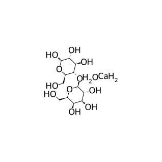 O.OC[C@H]1O[C@@H](O[C@H]2[C@H](O)[C@@H](O)[C@H](O)O[C@@H]2CO)[C@H](O)[C@@H](O)[C@H]1O.[CaH2]